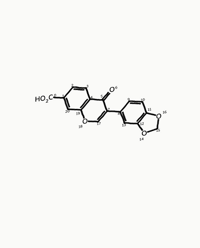 O=C(O)c1ccc2c(=O)c(-c3ccc4c(c3)OCO4)coc2c1